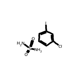 Clc1cccc(I)c1.NS(N)(=O)=O